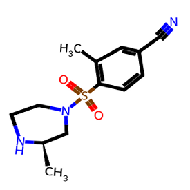 Cc1cc(C#N)ccc1S(=O)(=O)N1CCN[C@H](C)C1